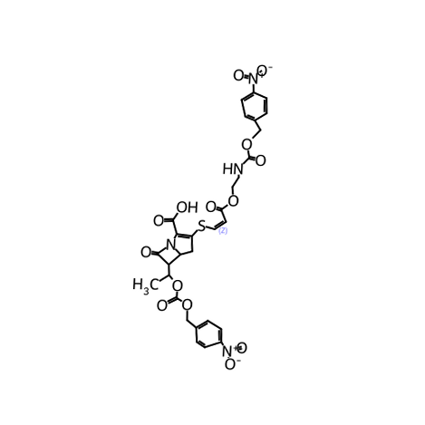 CC(OC(=O)OCc1ccc([N+](=O)[O-])cc1)C1C(=O)N2C(C(=O)O)=C(S/C=C\C(=O)OCCNC(=O)OCc3ccc([N+](=O)[O-])cc3)CC12